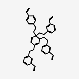 C=Cc1ccc(CCC2(CCc3cccc(C=C)c3)C=CC(CCc3cccc(C=C)c3)=CC2CCc2cccc(C=C)c2)cc1